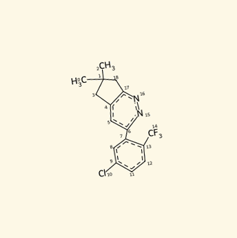 CC1(C)Cc2cc(-c3cc(Cl)ccc3C(F)(F)F)nnc2C1